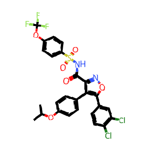 CC(C)Oc1ccc(-c2c(C(=O)NS(=O)(=O)c3ccc(OC(F)(F)F)cc3)noc2-c2ccc(Cl)c(Cl)c2)cc1